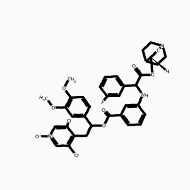 COc1ccc(C(Cc2c(Cl)c[n+]([O-])cc2Cl)OC(=O)c2cccc(NC(C(=O)O[C@H]3CN4CCC3CC4)c3cccc(F)c3)c2)cc1OC